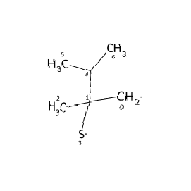 [CH2]C(C)([S])C(C)C